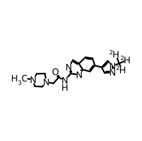 [2H]C([2H])([2H])n1cc(-c2ccc3cnc(NC(=O)CN4CCN(C)CC4)nc3c2)cn1